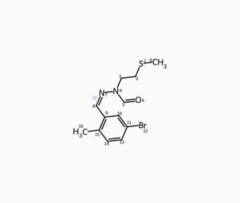 CSCCN(C=O)/N=C\c1cc(Br)ccc1C